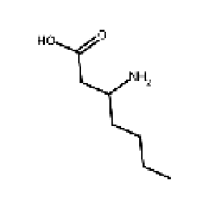 CCCCC(N)CC(=O)O